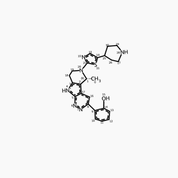 C[C@@H]1c2c([nH]c3nnc(-c4ccccc4O)cc23)CCN1c1ncc(C2CCNCC2)s1